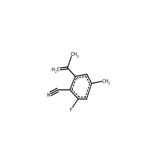 C=C(C)c1cc(C)cc(F)c1C#N